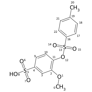 COc1cc(S(=O)(=O)O)ccc1OS(=O)(=O)c1ccc(C)cc1